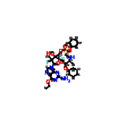 CCOc1nc(N)nc2c1ncn2[C@@H]1O[C@]2(F)C(O[P@](=O)(CN[C@@H](C)C(=O)OC3CCCCC3)Oc3ccccc3)[C@]2(O)[C@@]1(C)F